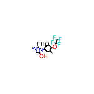 Cc1cc(N2C(O)CN(C)C2C=O)ccc1OC(F)(F)C(F)F